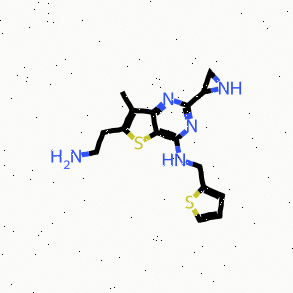 Cc1c(CCN)sc2c(NCc3cccs3)nc(C3CN3)nc12